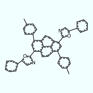 Cc1ccc(-c2cc(-c3ncc(-c4ccccc4)o3)c3ccc4c(-c5ccc(C)cc5)cc(-c5ncc(-c6ccccc6)o5)c5ccc2c3c45)cc1